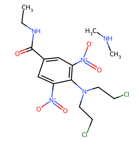 CCNC(=O)c1cc([N+](=O)[O-])c(N(CCCl)CCCl)c([N+](=O)[O-])c1.CNC